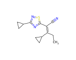 CCC(=C(C#N)c1nc(C2CC2)ns1)C1CC1